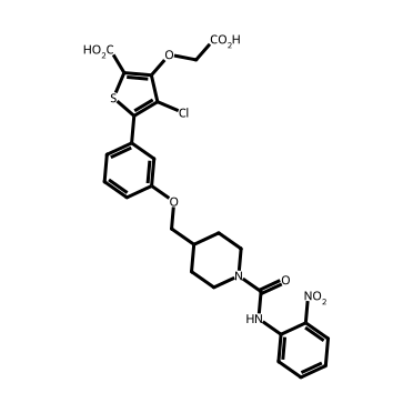 O=C(O)COc1c(C(=O)O)sc(-c2cccc(OCC3CCN(C(=O)Nc4ccccc4[N+](=O)[O-])CC3)c2)c1Cl